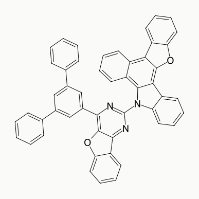 c1ccc(-c2cc(-c3ccccc3)cc(-c3nc(-n4c5ccccc5c5c6oc7ccccc7c6c6ccccc6c54)nc4c3oc3ccccc34)c2)cc1